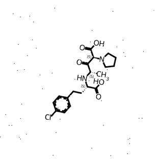 C[C@H](N[C@@H](CCc1ccc(Cl)cc1)C(=O)O)C(=O)[C@@H](C(=O)O)N1CCCC1